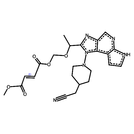 COC(=O)/C=C/C(=O)OCOC(C)c1nc2cnc3[nH]ccc3c2n1N1CCC(CC#N)CC1